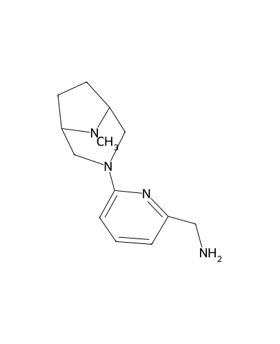 CN1C2CCC1CN(c1cccc(CN)n1)C2